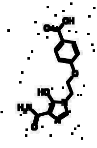 NC(=O)c1ncn(CCOc2ccc(C(=O)O)cc2)c1O